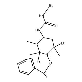 CCNC(=O)NC1CC(C)(CC)N(OC(C)c2ccccc2)C(C)(CC)C1C